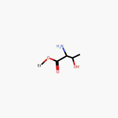 CCOC(=O)C(N)C(C)O